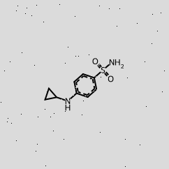 NS(=O)(=O)c1ccc(NC2CC2)cc1